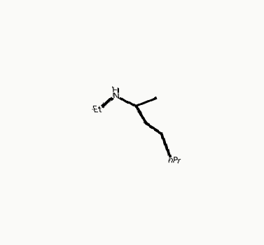 C[CH]NC(C)CCCCC